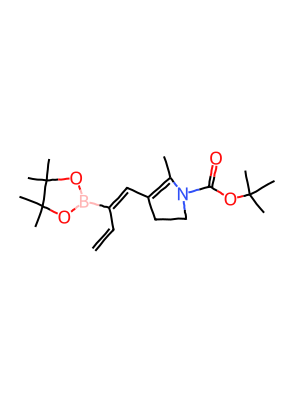 C=C/C(=C\C1=C(C)N(C(=O)OC(C)(C)C)CC1)B1OC(C)(C)C(C)(C)O1